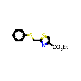 CCOC(=O)c1csc(CSc2ccccc2)n1